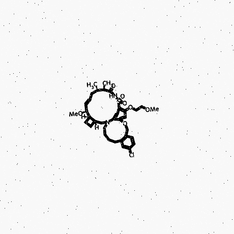 COCCOc1cc2c3cc1S(=O)(=O)NC(=O)[C@H](C)[C@@H](C)C/C=C/[C@H](OC)[C@@H]1CC[C@H]1CN3CCCCc1cc(Cl)ccc1CO2